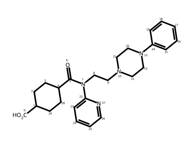 O=C(O)C1CCC(C(=O)N(CCN2CCN(c3ccccc3)CC2)c2ccccn2)CC1